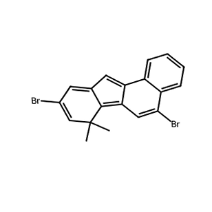 CC1(C)C=C(Br)C=C2C=c3c(cc(Br)c4ccccc34)=C21